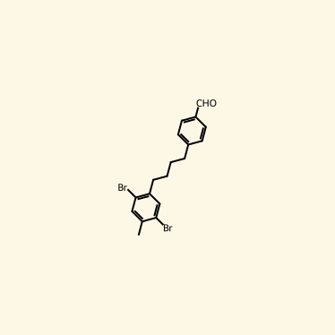 Cc1cc(Br)c(CCCCc2ccc(C=O)cc2)cc1Br